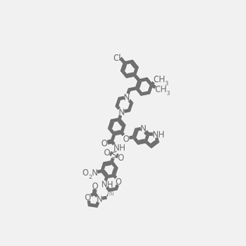 CC1(C)CCC(CN2CCN(c3ccc(C(=O)NS(=O)(=O)c4cc5c(c([N+](=O)[O-])c4)N[C@@H](CN4CCOC4=O)CO5)c(Oc4cnc5[nH]ccc5c4)c3)CC2)=C(c2ccc(Cl)cc2)C1